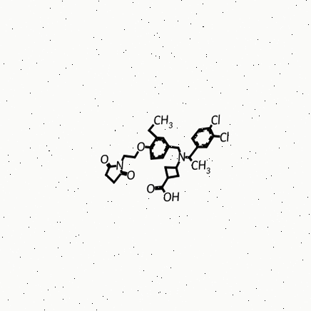 CCc1cc(CN(C2CC(C(=O)O)C2)C(C)c2ccc(Cl)c(Cl)c2)ccc1OCCN1C(=O)CCC1=O